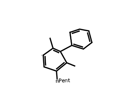 CCCCCc1c[c]c(C)c(-c2ccccc2)c1C